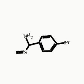 C=NC(N)c1ccc(C(C)C)cc1